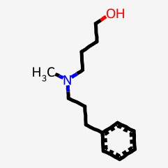 CN(CCCCO)CCCc1ccccc1